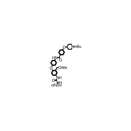 CCCCCNC(=O)Nc1ccc(Oc2ccc(NC(=O)c3ccc(OC4CCN(CCCC)CC4)cc3)cc2)c(COC)c1